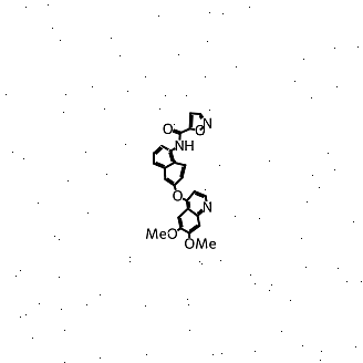 COc1cc2nccc(Oc3ccc4c(NC(=O)c5ccno5)cccc4c3)c2cc1OC